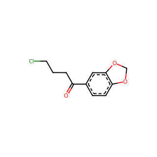 O=C(CCCCl)c1ccc2c(c1)OCO2